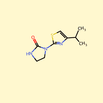 CC(C)c1csc(N2CCNC2=O)n1